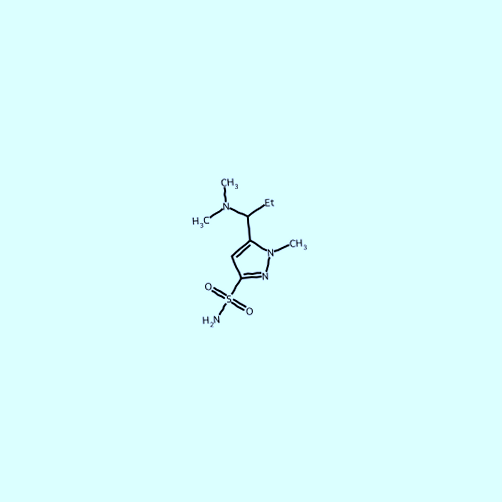 CCC(c1cc(S(N)(=O)=O)nn1C)N(C)C